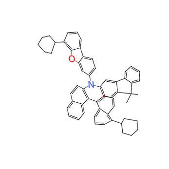 CC1(C)c2ccccc2-c2cc(N(c3ccc4c(c3)oc3c(C5CCCCC5)cccc34)c3ccc4ccccc4c3-c3cccc4c(C5CCCCC5)cccc34)ccc21